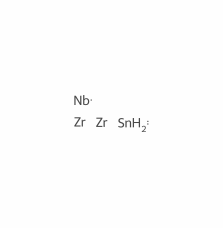 [Nb].[SnH2].[Zr].[Zr]